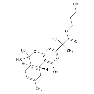 CC1=CC[C@@H]2[C@@H](C1)c1c(O)cc(C(C)(C)C(=O)OCCCC#N)cc1OC2(C)C